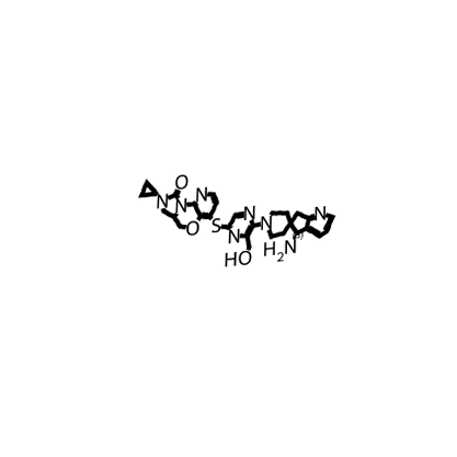 N[C@@H]1c2cccnc2CC12CCN(c1ncc(Sc3ccnc4c3OCC3CN(C5CC5)C(=O)N43)nc1CO)CC2